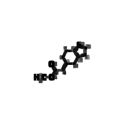 COC(=O)C=C1CCc2sccc2C1